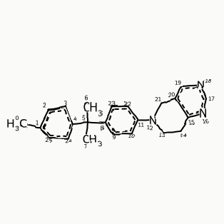 Cc1ccc(C(C)(C)c2ccc(N3CCc4ncncc4C3)cc2)cc1